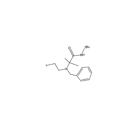 CC(C)(C)NC(=O)C(C)(C)N(CCI)Cc1ccccc1